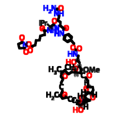 C=C1CC2CC[C@]34C[C@@H](O)[C@@H](O3)C3O[C@H]5CC[C@H](CC(=O)CC6[C@H](CC7OC(CCC1O2)C[C@@H](C)C7=C)O[C@H](C[C@H](O)CNC(=O)OCc1ccc(NC(=O)C(CCCNC(N)=O)NC(=O)[C@@H](NC(=O)CCCCCC(=O)ON2C(=O)CCC2=O)C(C)C)cc1)[C@@H]6OC)O[C@@H]5[C@H](O4)[C@@H]3I